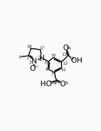 CC1=[N+]([O-])N(c2cc(C(=O)O)cc(C(=O)O)c2)CC1